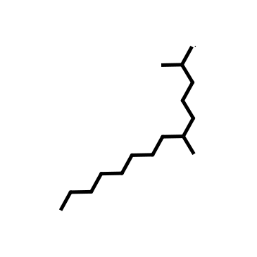 [CH2]C(C)CCCC(C)CCCCCCCC